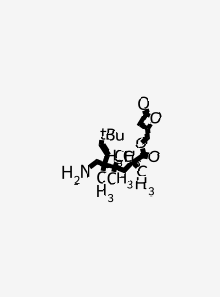 CC(C)(C)/C=C/C(C)(CN)C(C)(C)CC(C)(C)C(=O)OCC1CC(=O)O1